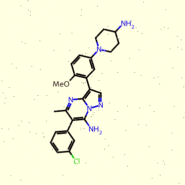 COc1ccc(N2CCC(N)CC2)cc1-c1cnn2c(N)c(-c3cccc(Cl)c3)c(C)nc12